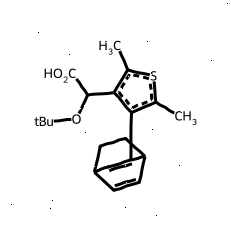 Cc1sc(C)c(C(OC(C)(C)C)C(=O)O)c1C1=CC2C=CC1CC2